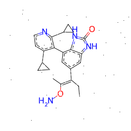 CC/C(=C(/C)ON)c1cc(-c2c(C3CC3)ccnc2C2CC2)c2[nH]c(=O)[nH]c2c1